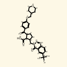 O=C(c1ccc(OCC2CCOCC2)cc1)C1CCC(Cn2nnc3ccc(C(F)(F)F)cc3c2=O)C1C(=O)O